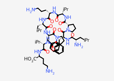 CC(C)C[C@H](NC(=O)[C@H](CCCN)NC(=O)[C@@H](NC(=O)[C@@H]1CCCN1C(=O)[C@@H](Cc1ccccc1)NC(=O)[C@@H](N)CC(C)C)C(C)C)C(=O)N[C@H](Cc1ccccc1)C(=O)N1CCC[C@H]1C(=O)N[C@H](C(=O)N[C@@H](CCCN)C(=O)O)C(C)C